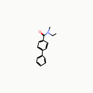 CCN(C)C(=O)c1ccc(-c2ccccc2)cc1